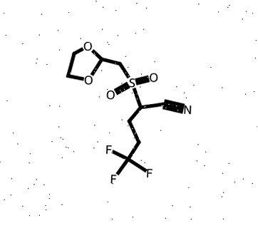 N#CC(CCC(F)(F)F)S(=O)(=O)CC1OCCO1